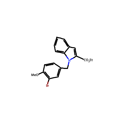 CCOC(=O)c1cc2ccccc2n1Cc1ccc(OC)c(Br)c1